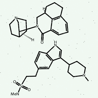 CNS(=O)(=O)CCc1ccc2[nH]cc(C3CCN(C)CC3)c2c1.O=C1c2cccc3c2[C@H](CCC3)CN1[C@@H]1CN2CCC1CC2